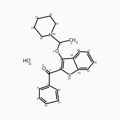 CC(Oc1c(C(=O)c2ccccc2)sc2ccccc12)N1CCCCC1.Cl